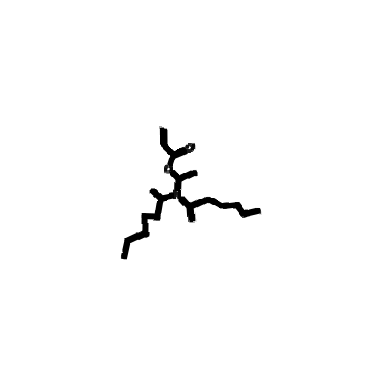 C=CC(=O)OC(C)N(C(C)CCCCC)C(C)CCCCC